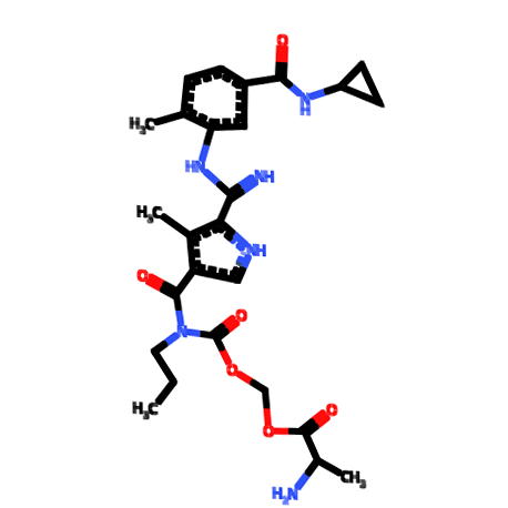 CCCN(C(=O)OCOC(=O)C(C)N)C(=O)c1c[nH]c(C(=N)Nc2cc(C(=O)NC3CC3)ccc2C)c1C